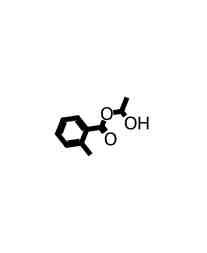 Cc1ccccc1C(=O)OC(C)O